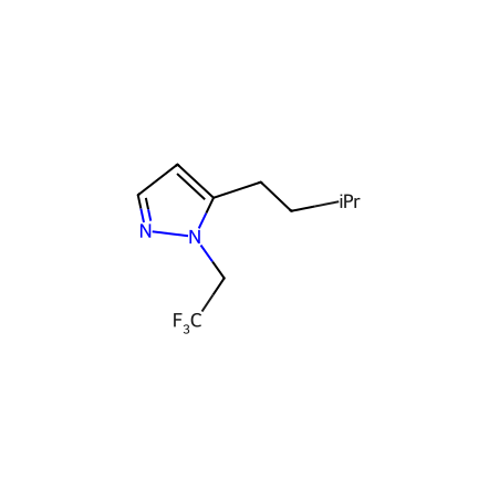 CC(C)CCc1ccnn1CC(F)(F)F